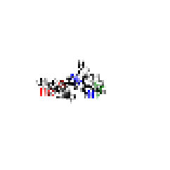 CC(C)C(c1ccnc(C(F)(F)F)c1)n1cc(BOC(C)(C)C(C)(C)O)cn1